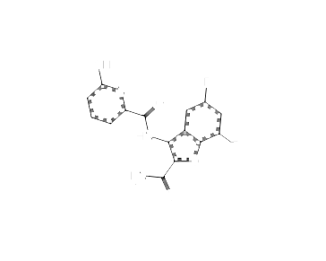 Cc1cccc(C(=O)Nc2c(C(N)=O)oc3c(F)cc(F)cc23)n1